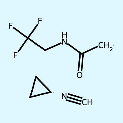 C#N.[CH2]C(=O)NCC(F)(F)F.[CH]1CC1